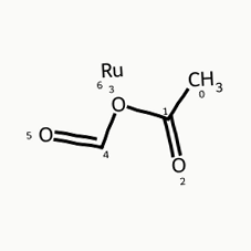 CC(=O)OC=O.[Ru]